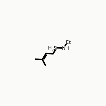 CCN[SiH2]CC=C(C)C